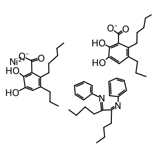 CCCCC(=Nc1ccccc1)C(CCCC)=Nc1ccccc1.CCCCCc1c(CCC)cc(O)c(O)c1C(=O)[O-].CCCCCc1c(CCC)cc(O)c(O)c1C(=O)[O-].[Ni+2]